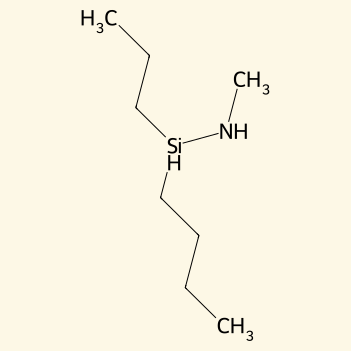 CCCC[SiH](CCC)NC